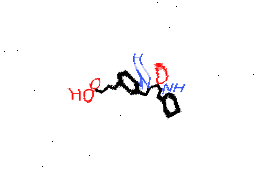 O=C(O)CCCc1ccc2[nH]c(C(=O)c3cc4ccccc4[nH]3)cc2c1